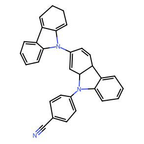 N#Cc1ccc(N2c3ccccc3C3C=CC(n4c5c(c6ccccc64)=CCCC=5)=CC32)cc1